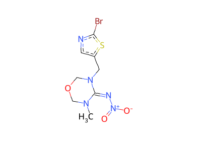 CN1COCN(Cc2cnc(Br)s2)C1=N[N+](=O)[O-]